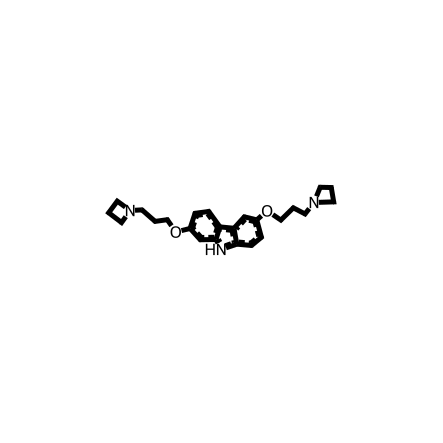 c1cc2c(cc1OCCCN1CCC1)[nH]c1ccc(OCCCN3CCC3)cc12